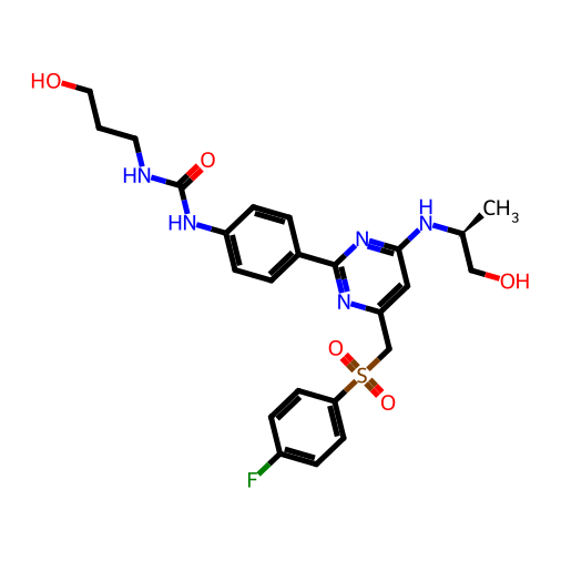 C[C@@H](CO)Nc1cc(CS(=O)(=O)c2ccc(F)cc2)nc(-c2ccc(NC(=O)NCCCO)cc2)n1